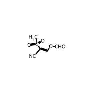 CS(=O)(=O)C(C#N)=COC=O